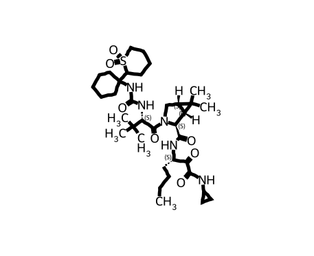 CCCC[C@H](NC(=O)[C@@H]1[C@@H]2[C@H](CN1C(=O)[C@@H](NC(=O)NC1(C3CCCCS3(=O)=O)CCCCC1)C(C)(C)C)C2(C)C)C(=O)C(=O)NC1CC1